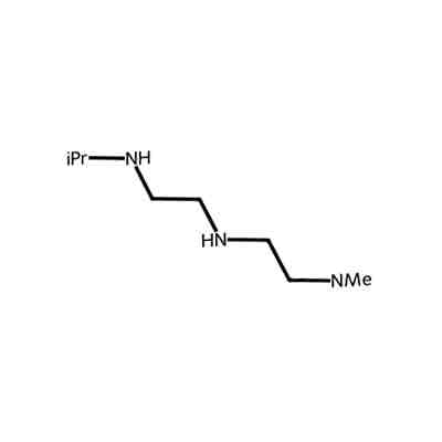 CNCCNCCNC(C)C